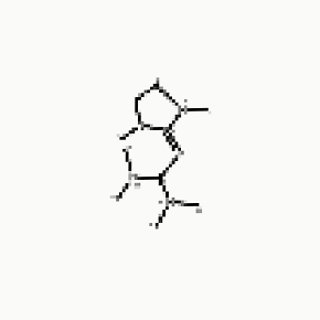 CN1CCN(C)C1=NC(N(C)C)N(C)C